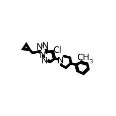 Cc1ccccc1C1CCN(c2cnn3c(CC4CC4)nnc3c2Cl)CC1